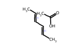 C/C=C/C=C/C.CC(=O)O